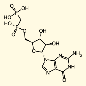 Nc1nc2c(ncn2[C@@H]2O[C@@H](CO[P@](=O)(O)CP(=O)(O)O)[C@H](O)[C@H]2O)c(=O)[nH]1